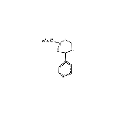 CON1CC[CH]C(c2ccccc2)C1